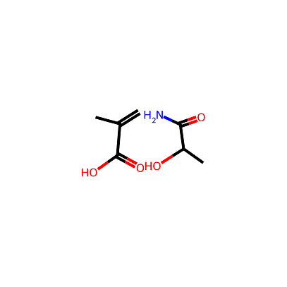 C=C(C)C(=O)O.CC(O)C(N)=O